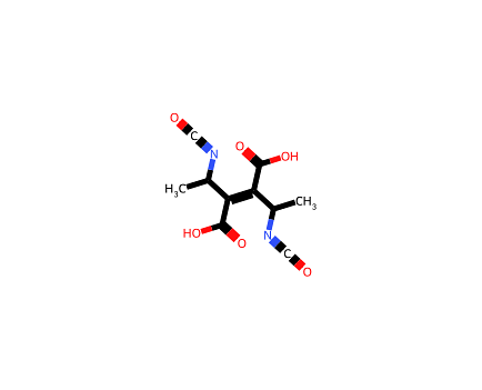 CC(N=C=O)/C(C(=O)O)=C(\C(=O)O)C(C)N=C=O